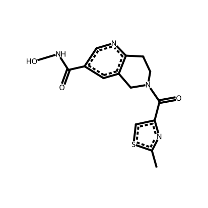 Cc1nc(C(=O)N2CCc3ncc(C(=O)NO)cc3C2)cs1